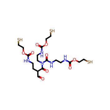 O=CC(CCNC(=O)OCCS)C(=O)N(CCNC(=O)OCCS)C(=O)NCCNC(=O)OCCS